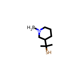 BN1CCCC(C(C)(C)S)C1